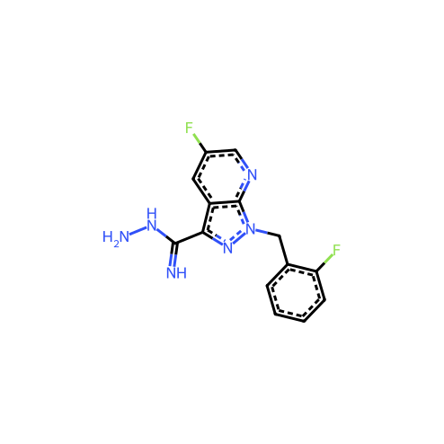 N=C(NN)c1nn(Cc2ccccc2F)c2ncc(F)cc12